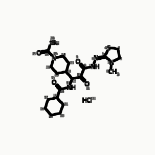 CN1CCSC1=NNC(=O)C(=O)C(NC(=O)C1CCCCC1)C1CCN(C(=O)C(C)(C)C)CC1.Cl